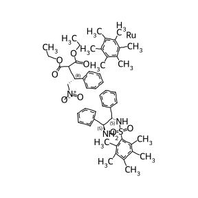 CCOC(=O)C(C(=O)OCC)[C@@H](C[N+](=O)[O-])c1ccccc1.Cc1c(C)c(C)c(C)c(C)c1C.Cc1c(C)c(C)c(S(=O)(=O)N[C@@H](c2ccccc2)[C@@H](N)c2ccccc2)c(C)c1C.[Ru]